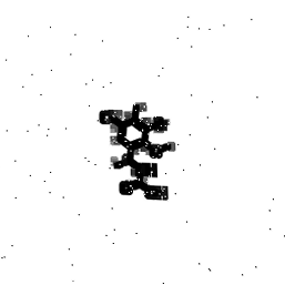 COc1c([C@H](C)NC(=O)O)cc(Cl)c(C)c1Br